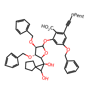 CCCCCC#Cc1cc(OCc2ccccc2)cc(OC2O[C@@H]([C@]3(O)C(O)C34CCCC4)[C@H](OCc3ccccc3)[C@H]2OCc2ccccc2)c1C(=O)O